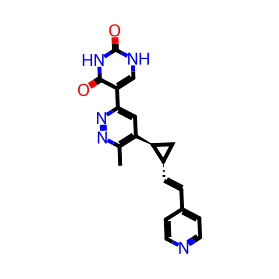 Cc1nnc(-c2c[nH]c(=O)[nH]c2=O)cc1[C@H]1C[C@@H]1/C=C/c1ccncc1